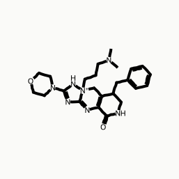 CN(C)CCC[N+]12CC3=C(N=C1N=C(N1CCOCC1)N2)C(=O)NCC3Cc1ccccc1